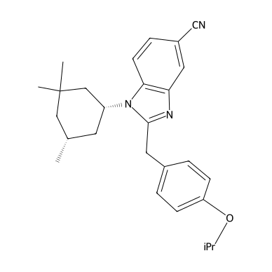 CC(C)Oc1ccc(Cc2nc3cc(C#N)ccc3n2[C@@H]2C[C@H](C)CC(C)(C)C2)cc1